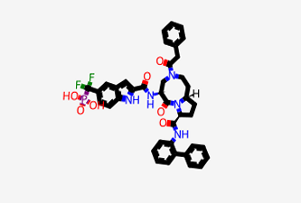 O=C(N[C@H]1CN(C(=O)Cc2ccccc2)CC[C@H]2CC[C@@H](C(=O)Nc3ccccc3-c3ccccc3)N2C1=O)c1cc2cc(C(F)(F)P(=O)(O)O)ccc2[nH]1